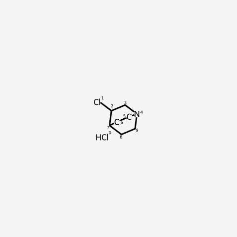 Cl.ClC1CN2CCC1CC2